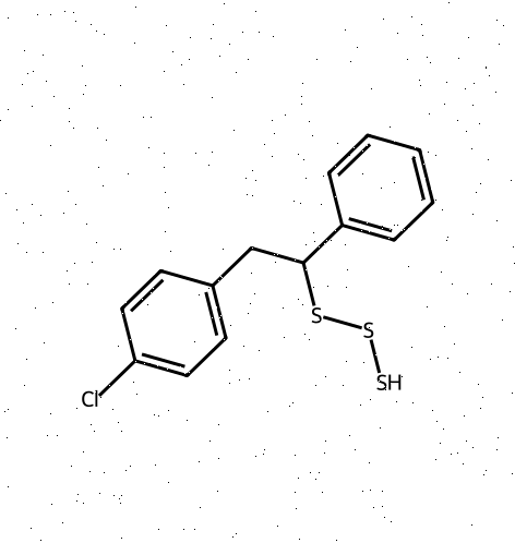 SSSC(Cc1ccc(Cl)cc1)c1ccccc1